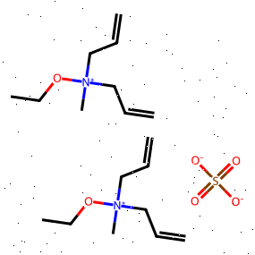 C=CC[N+](C)(CC=C)OCC.C=CC[N+](C)(CC=C)OCC.O=S(=O)([O-])[O-]